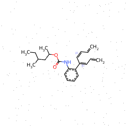 C=C/C=C\C(=C/C=C)c1ccccc1NC(=O)OC(C)CC(C)CC